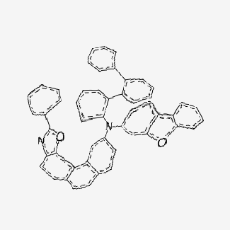 c1ccc(-c2nc3ccc4ccc5ccc(N(c6ccc7c(c6)oc6ccccc67)c6ccccc6-c6ccccc6-c6ccccc6)cc5c4c3o2)cc1